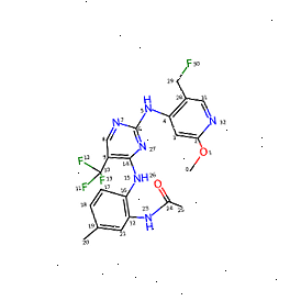 COc1cc(Nc2ncc(C(F)(F)F)c(Nc3ccc(C)cc3NC(C)=O)n2)c(CF)cn1